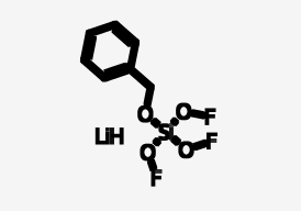 FO[Si](OF)(OF)OCc1ccccc1.[LiH]